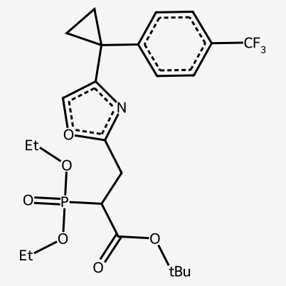 CCOP(=O)(OCC)C(Cc1nc(C2(c3ccc(C(F)(F)F)cc3)CC2)co1)C(=O)OC(C)(C)C